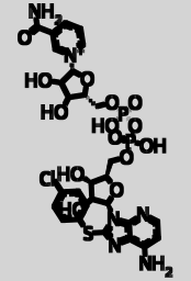 NC(=O)c1ccc[n+]([C@@H]2O[C@H](COP(=O)(O)OP(=O)(O)OC[C@H]3O[C@@H](n4c(Sc5ccc(Cl)cc5)nc5c(N)ccnc54)C(O)[C@H]3O)C(O)C2O)c1